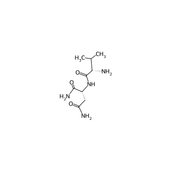 CC(C)[C@H](N)C(=O)N[C@H](CC(N)=O)C(N)=O